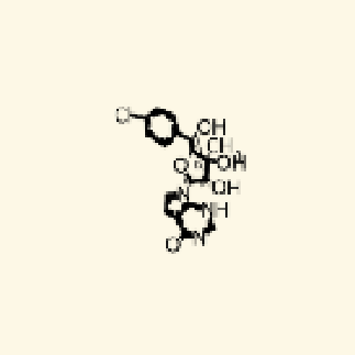 C[C@@]1(O)[C@@H]([C@H](O)c2ccc(Cl)cc2)O[C@@H](n2ccc3c(=O)nc[nH]c32)[C@@H]1O